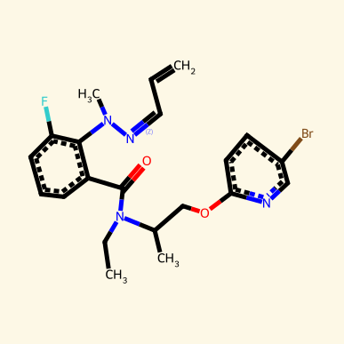 C=C/C=N\N(C)c1c(F)cccc1C(=O)N(CC)C(C)COc1ccc(Br)cn1